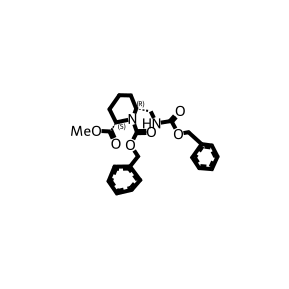 COC(=O)[C@@H]1CCC[C@H](CNC(=O)OCc2ccccc2)N1C(=O)OCc1ccccc1